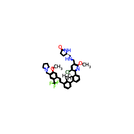 COc1cc(/C=C/c2cccc(-c3cccc(-c4nc(OC)c(CNC[C@@H]5CCC(=O)N5)cc4Cl)c3C)c2C)c(C(F)(F)F)cc1CN1CCCC1